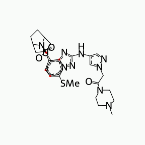 CSc1ccc(S(=O)(=O)N2C3CCC2CN(c2cccn4nc(Nc5cnn(CC(=O)N6CCN(C)CC6)c5)nc24)C3)cc1